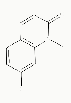 Cn1c(=O)ccc2ccc(Cl)cc21